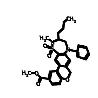 CCCCC1CN(c2ccccc2)c2cc3c(cc2S(=O)(=O)N1C)-c1cc(C(=O)OC)ccc1OC3